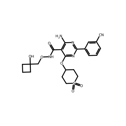 N#Cc1cccc(-c2nc(N)c(C(=O)NOCC3(O)CCC3)c(OC3CCS(=O)(=O)CC3)n2)c1